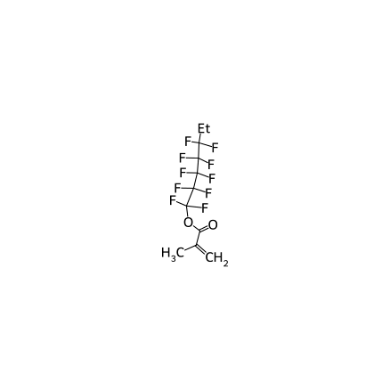 C=C(C)C(=O)OC(F)(F)C(F)(F)C(F)(F)C(F)(F)C(F)(F)CC